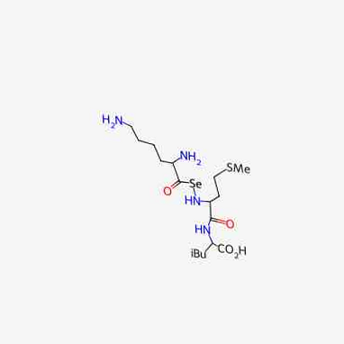 CCC(C)C(NC(=O)C(CCSC)N[Se]C(=O)C(N)CCCCN)C(=O)O